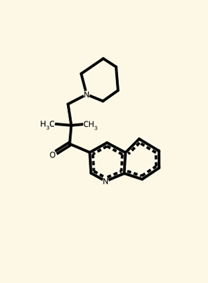 CC(C)(CN1CCCCC1)C(=O)c1cnc2ccccc2c1